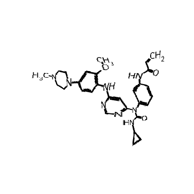 C=CC(=O)Nc1cccc(N(C(=O)NC2CC2)c2cc(Nc3ccc(N4CCN(C)CC4)cc3OC)ncn2)c1